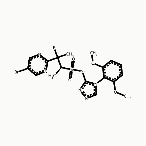 COc1cccc(OC)c1-n1cnnc1NS(=O)(=O)[C@@H](C)C(C)(F)c1ncc(Br)cn1